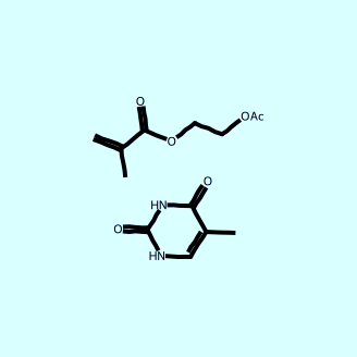 C=C(C)C(=O)OCCOC(C)=O.Cc1c[nH]c(=O)[nH]c1=O